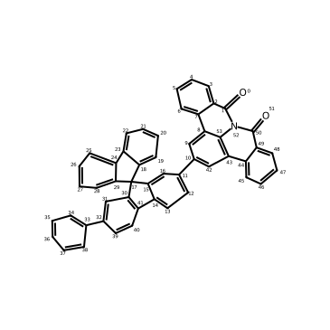 O=c1c2ccccc2c2cc(-c3ccc4c(c3)C3(c5ccccc5-c5ccccc53)c3cc(-c5ccccc5)ccc3-4)cc3c4ccccc4c(=O)n1c23